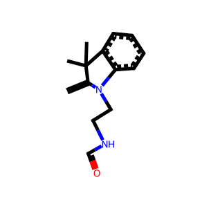 C=C1N(CCNC=O)c2ccccc2C1(C)C